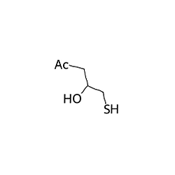 CC(=O)CC(O)CS